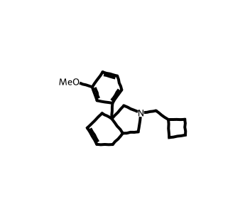 COc1cccc(C23CC=CCC2CN(CC2CCC2)C3)c1